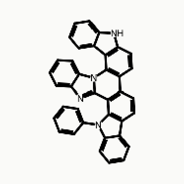 c1ccc(-n2c3ccccc3c3ccc4c5ccc6[nH]c7ccccc7c6c5n5c6ccccc6nc5c4c32)cc1